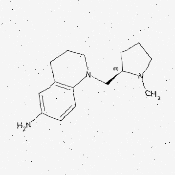 CN1CCC[C@@H]1CN1CCCc2cc(N)ccc21